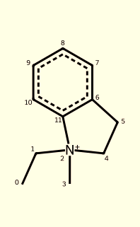 CC[N+]1(C)CCc2ccccc21